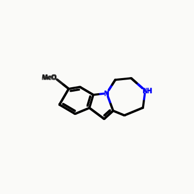 COc1ccc2cc3n(c2c1)CCNCC3